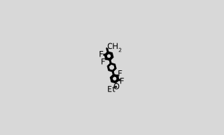 C=Cc1ccc(C2CCC(c3ccc(OCC)c(F)c3F)CC2)c(F)c1F